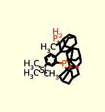 CC1(P)C2CC3CC(C2)CC1(c1ccc([Si](C)(C)C)cc1P(C12CC4CC(CC(C4)C1)C2)C12CC4CC(CC(C4)C1)C2)C3